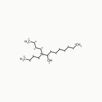 CCCCCCCC(O)N(CCCC)CCCC